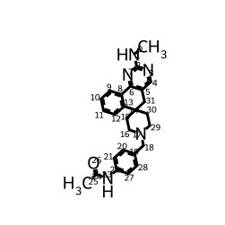 CNc1ncc2c(n1)-c1ccccc1C1(CCN(Cc3ccc(NC(C)=O)cc3)CC1)C2